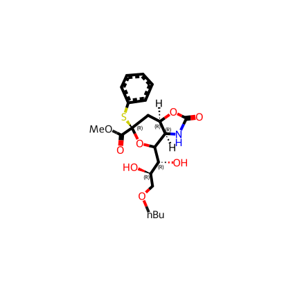 CCCCOC[C@@H](O)[C@@H](O)C1O[C@](Sc2ccccc2)(C(=O)OC)C[C@H]2OC(=O)N[C@@H]12